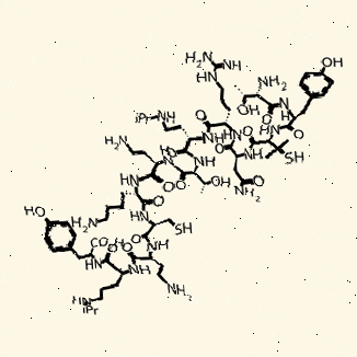 CC(C)NCCC[C@H](NC(=O)[C@H](CCN)NC(=O)[C@H](CS)NC(=O)[C@H](CCCCN)NC(=O)[C@@H](CCN)NC(=O)[C@@H](NC(=O)[C@H](CCNC(C)C)NC(=O)[C@H](CCCNC(=N)N)NC(=O)[C@H](CC(N)=O)NC(=O)[C@@H](NC(=O)[C@H](Cc1ccc(O)cc1)NC(=O)[C@@H](N)[C@@H](C)O)C(C)(C)S)[C@@H](C)O)C(=O)N[C@@H](Cc1ccc(O)cc1)C(=O)O